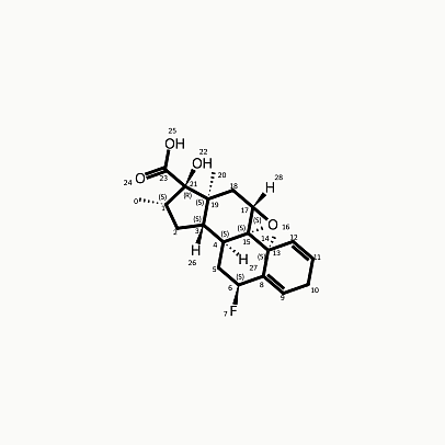 C[C@H]1C[C@H]2[C@@H]3C[C@H](F)C4=CCC=C[C@]4(C)[C@@]34O[C@H]4C[C@]2(C)[C@@]1(O)C(=O)O